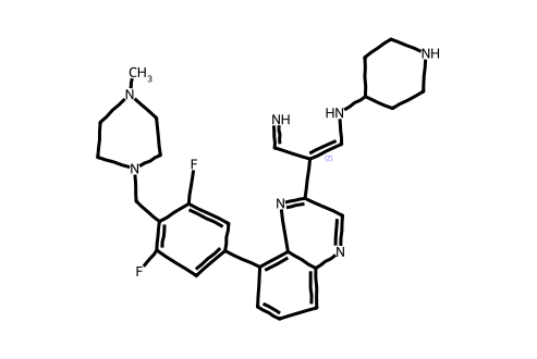 CN1CCN(Cc2c(F)cc(-c3cccc4ncc(/C(C=N)=C/NC5CCNCC5)nc34)cc2F)CC1